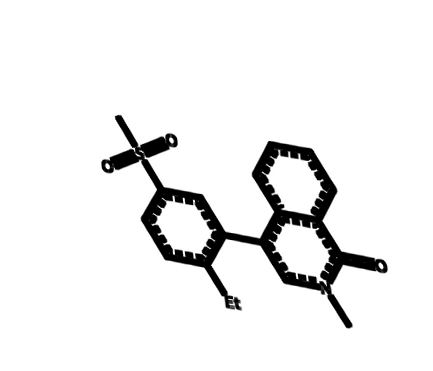 CCc1ccc(S(C)(=O)=O)cc1-c1cn(C)c(=O)c2ccccc12